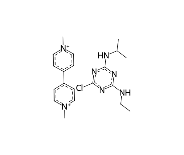 CCNc1nc(Cl)nc(NC(C)C)n1.C[n+]1ccc(-c2cc[n+](C)cc2)cc1